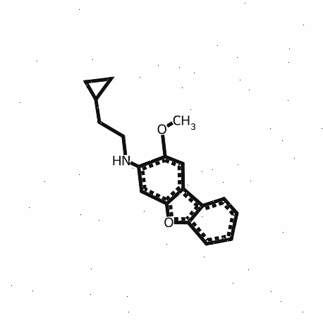 COc1cc2c(cc1NCCC1CC1)oc1ccccc12